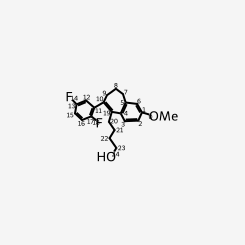 COc1ccc2c(c1)CCCC(c1cc(F)ccc1F)=C2CCCCO